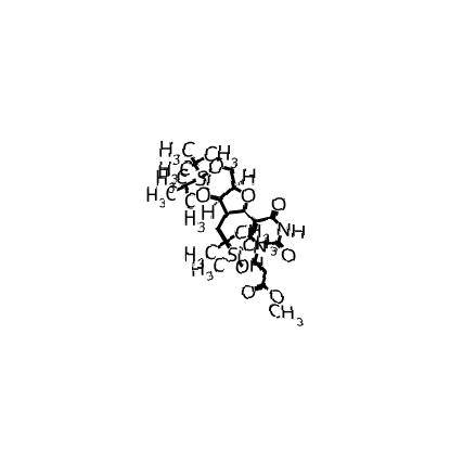 COC(=O)CCn1cc([C@@H]2O[C@@H]3CO[Si](C(C)(C)C)(C(C)(C)C)O[C@@H]3C2CC(C)(C)[Si](C)(C)O)c(=O)[nH]c1=O